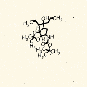 C=CCC(O)(CC=C)[C@H]1CC(NC(=O)OC(C)(C)C)[C@@H]2OC(C)(C)O[C@@H]21